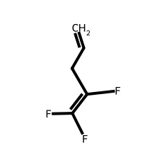 C=CCC(F)=C(F)F